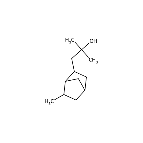 CC1CC2CC(CC(C)(C)O)C1C2